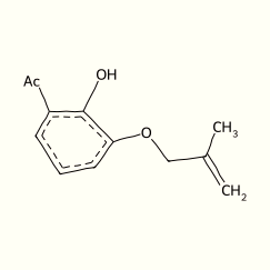 C=C(C)COc1cccc(C(C)=O)c1O